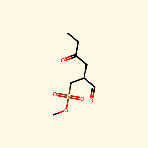 CCC(=O)C[C@@H](C=O)CS(=O)(=O)OC